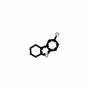 [O]c1ccc2oc3c(c2c1)CCCC3